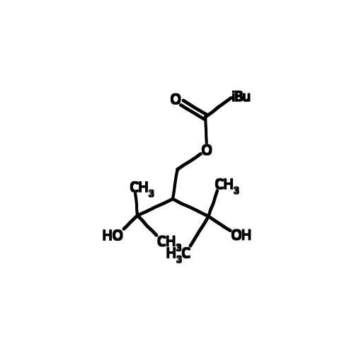 CCC(C)C(=O)OCC(C(C)(C)O)C(C)(C)O